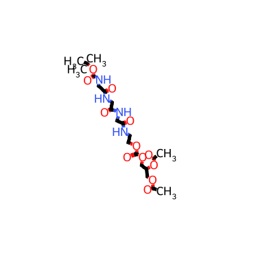 CC(=O)OCC(COC(=O)OCCNC(=O)CNC(=O)CNC(=O)CNC(=O)OC(C)(C)C)OC(C)=O